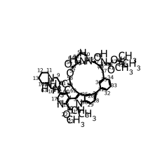 CCn1c(-c2cc(N3CCN4CCCC[C@@H]4C3)cnc2[C@H](C)OC)c2c3cc(ccc31)-c1cccc(c1)C[C@H](NC(=O)OC(C)(C)C)C(=O)N1CCC[C@H](N1)C(=O)OCC(C)(C)C2